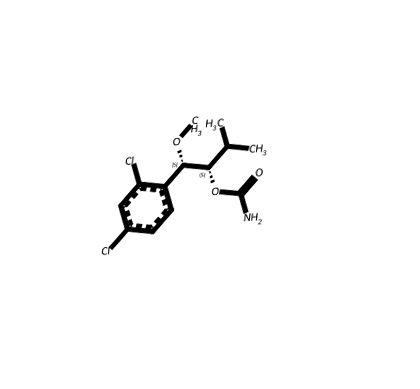 CO[C@@H](c1ccc(Cl)cc1Cl)[C@@H](OC(N)=O)C(C)C